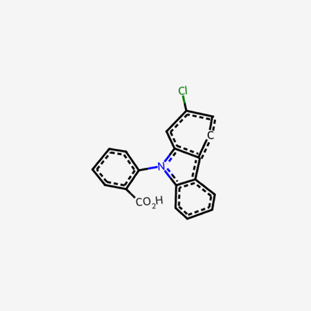 O=C(O)c1ccccc1-n1c2ccccc2c2ccc(Cl)cc21